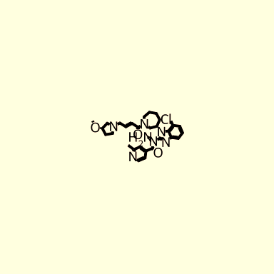 CO[C@@H]1CCN(C/C=C/C(=O)N2CCCC[C@@H](n3c(N(N)C(=O)c4ccnc(C)c4)nc4cccc(Cl)c43)C2)C1